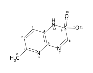 Cc1ccc2c(n1)N=CS(=O)(=O)N2